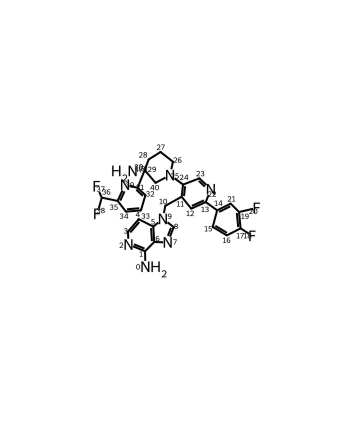 Nc1nccc2c1ncn2Cc1cc(-c2ccc(F)c(F)c2)ncc1N1CCC[C@](N)(c2cccc(C(F)F)n2)C1